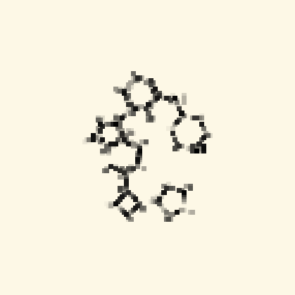 c1cc(NC2CCNCC2)nc(-c2cnc3cc(C4CCC4C4CCCC4)ccn23)c1